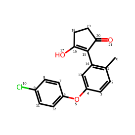 Cc1ccc(Oc2ccc(Cl)cc2)cc1C1=C(O)CCC1=O